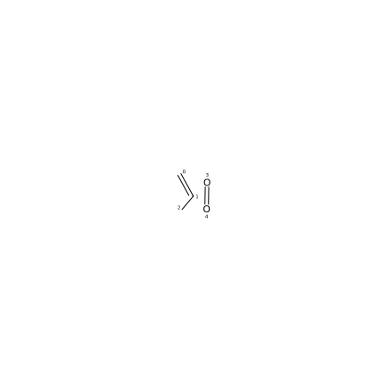 C=CC.O=O